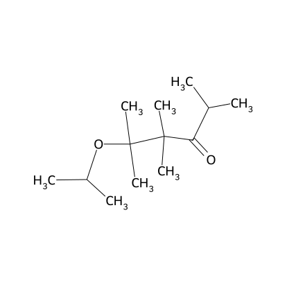 CC(C)OC(C)(C)C(C)(C)C(=O)C(C)C